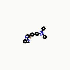 c1ccc(-c2nc(-c3ccccc3)nc(-c3ccc(-c4ccc5c(c4)sc4c(-c6nccc7ccccc67)nccc45)cc3)n2)cc1